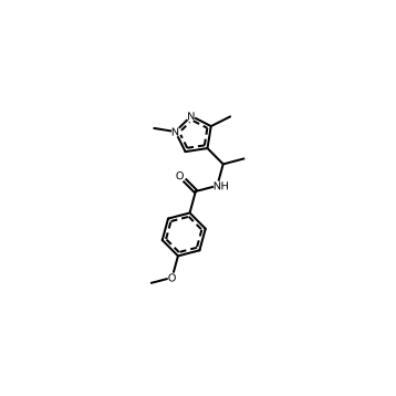 COc1ccc(C(=O)NC(C)c2cn(C)nc2C)cc1